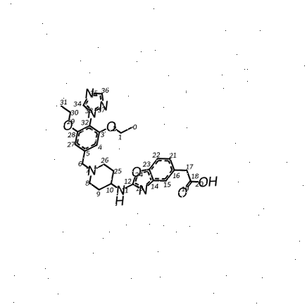 CCOc1cc(CN2CCC(Nc3nc4cc(CC(=O)O)ccc4o3)CC2)cc(OCC)c1-n1cncn1